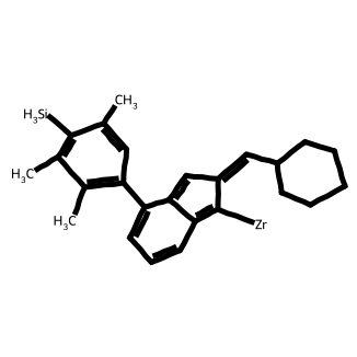 Cc1cc(-c2cccc3c2=CC(=CC2CCCCC2)[C]=3[Zr])c(C)c(C)c1[SiH3]